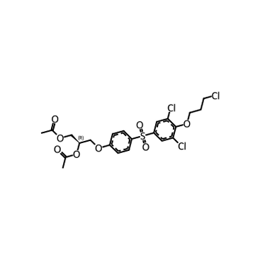 CC(=O)OC[C@@H](COc1ccc(S(=O)(=O)c2cc(Cl)c(OCCCCl)c(Cl)c2)cc1)OC(C)=O